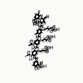 CC(=O)Nc1cc(N=Nc2cc(SCCCS(=O)(=O)O)c(N=Nc3cc(OCCCCS(=O)(=O)O)c(N=Nc4c(C)c(C#N)c5nc6c(C)ccc(S(=O)(=O)O)c6n5c4O)cc3C)cc2NC(C)=O)c(SCCCS(=O)(=O)O)cc1N=Nc1ccc(Cl)c(S(=O)(=O)O)c1